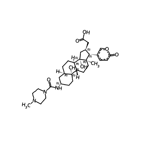 CN1CCN(C(=O)N[C@H]2CC[C@@]3(C)[C@H](CC[C@@H]4[C@@H]3CC[C@]3(C)[C@@H](c5ccc(=O)oc5)[C@H](CC(=O)O)C[C@]43O)C2)CC1